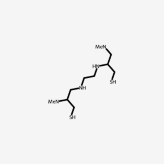 CNCC(CS)NCCNCC(CS)NC